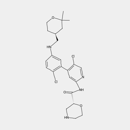 CC1(C)C[C@@H](CNc2ccc(Cl)c(-c3cc(NC(=O)[C@H]4CNCCO4)ncc3Cl)c2)CCO1